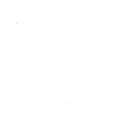 CCC1CN(C(C)[C@@H](COc2nnc(OC[C@@H](c3ccnc4ccc(OC)cc34)[C@H]3CC4CCN3CC4CC)c3ccccc23)c2ccnc3ccc(OC)cc23)CCC1C